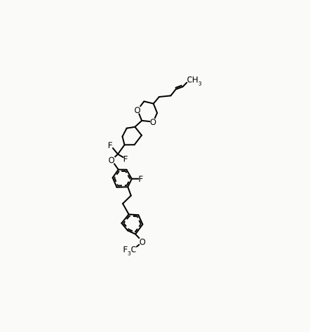 C/C=C/CCC1COC(C2CCC(C(F)(F)Oc3ccc(CCc4ccc(OC(F)(F)F)cc4)c(F)c3)CC2)OC1